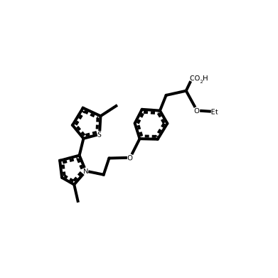 CCOC(Cc1ccc(OCCn2c(C)ccc2-c2ccc(C)s2)cc1)C(=O)O